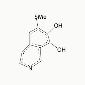 CSc1cc2ccncc2c(O)c1O